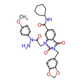 COc1ccc(N(N)C(=O)Cn2c(=O)n(Cc3ccc4c(c3)OCO4)c(=O)c3ccc(C(=O)NC4CCCCC4)cc32)cc1